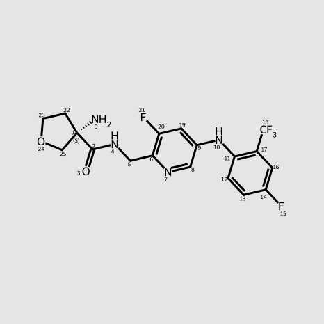 N[C@@]1(C(=O)NCc2ncc(Nc3ccc(F)cc3C(F)(F)F)cc2F)CCOC1